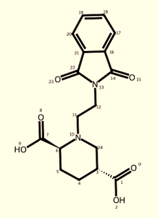 O=C(O)[C@@H]1CC[C@@H](C(=O)O)N(CCN2C(=O)c3ccccc3C2=O)C1